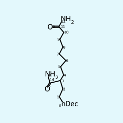 CCCCCCCCCCCCC(CCCCCCCC(N)=O)C(N)=O